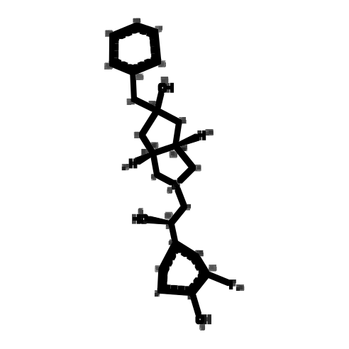 Oc1ccc([C@@H](O)CN2C[C@@H]3CC(O)(Cc4ccccc4)C[C@@H]3C2)cc1F